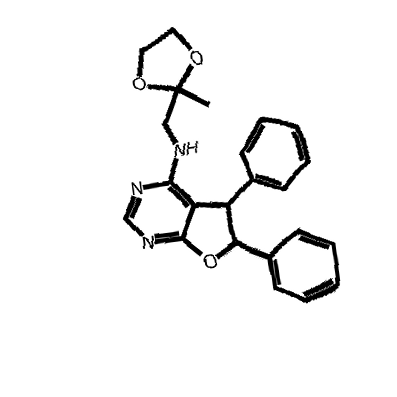 CC1(CNc2ncnc3c2C(c2ccccc2)C(c2ccccc2)O3)OCCO1